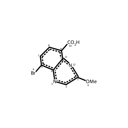 COc1cnc2c(Br)ccc(C(=O)O)c2n1